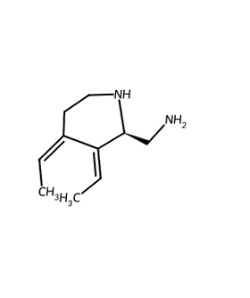 C/C=C1/CCN[C@@H](CN)/C1=C/C